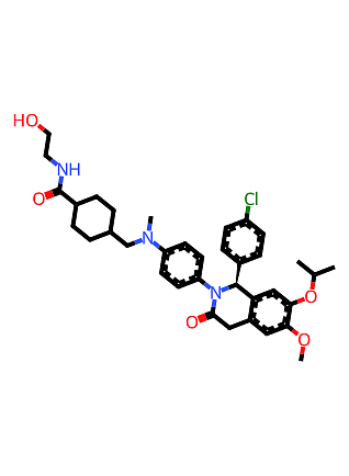 COc1cc2c(cc1OC(C)C)[C@H](c1ccc(Cl)cc1)N(c1ccc(N(C)CC3CCC(C(=O)NCCO)CC3)cc1)C(=O)C2